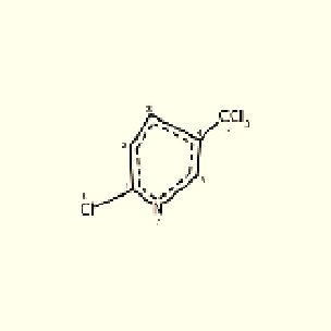 Clc1ccc(C(Cl)(Cl)Cl)cn1